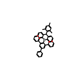 Cc1cc(C)c(C2c3ccccc3B(c3c(-c4ccccc4)cc(-c4ccccc4)cc3-c3ccccc3)c3ccccc32)c(C)c1